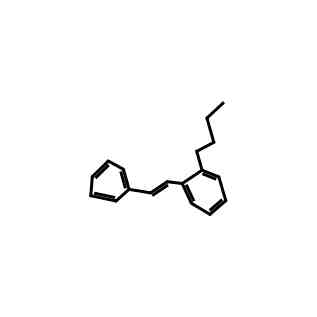 CCCCc1ccccc1C=Cc1ccccc1